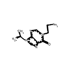 CC(C)n1cnc2c(=O)n(CCN)cnc21